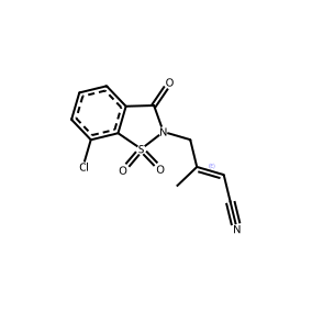 C/C(=C\C#N)CN1C(=O)c2cccc(Cl)c2S1(=O)=O